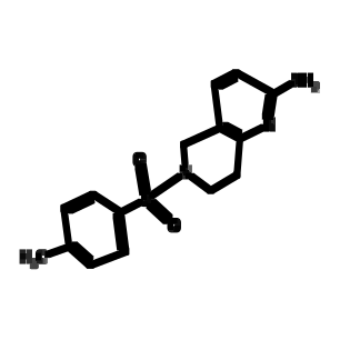 Cc1ccc(S(=O)(=O)N2CCc3nc(N)ccc3C2)cc1